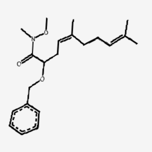 CON(C)C(=O)C(C/C=C(/C)CCC=C(C)C)OCc1ccccc1